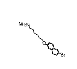 CNCCCCCCOc1ccc2cc(Br)ccc2c1